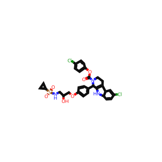 O=C(Oc1ccc(Cl)cc1)N1CCC2=C(NC3C=CC(Cl)=CC23)C1c1ccc(OCC(O)CNS(=O)(=O)C2CC2)cc1